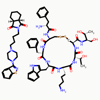 CC(O)[C@@H]1NC(=O)[C@H](CCCCN)NC(=O)[C@@H](Cc2c[nH]c3ccccc23)NC(=O)[C@H](Cc2ccccc2)NC(=O)[C@@H](NC(=O)[C@H](N)Cc2ccccc2)CSSC[C@@H](C(=O)N[C@H](CO)[C@@H](C)O)NC1=O.O=C1[C@H]2CCCC[C@H]2C(=O)N1CCCCN1CCN(c2nsc3ccccc23)CC1